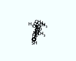 CCOP(=O)(OCC)C(Cc1nc(C(F)(F)c2ccc(S)cc2)no1)C(=O)OC(C)(C)C